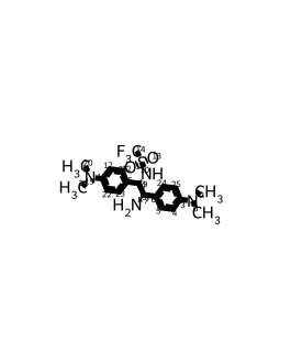 CN(C)c1ccc([C@H](N)[C@@H](NS(=O)(=O)C(F)(F)F)c2ccc(N(C)C)cc2)cc1